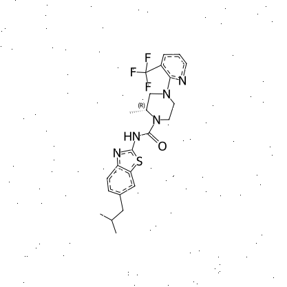 CC(C)Cc1ccc2nc(NC(=O)N3CCN(c4ncccc4C(F)(F)F)C[C@H]3C)sc2c1